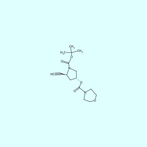 C#C[C@@H]1C[C@@H](OC(=O)N2CCOCC2)CN1C(=O)OC(C)(C)C